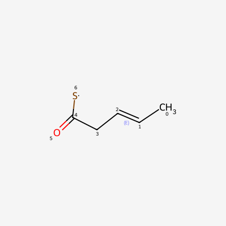 C/C=C/CC(=O)[S]